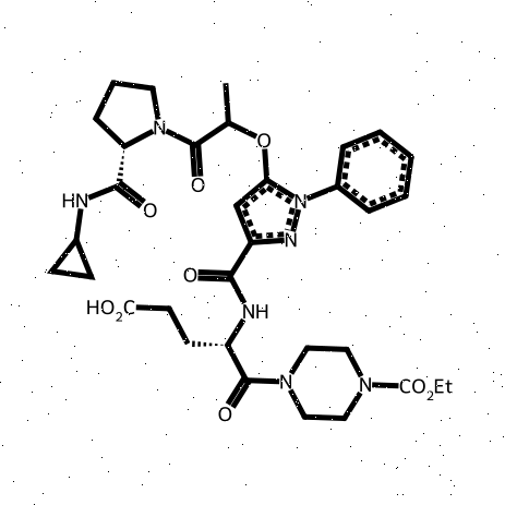 CCOC(=O)N1CCN(C(=O)[C@H](CCC(=O)O)NC(=O)c2cc(OC(C)C(=O)N3CCC[C@H]3C(=O)NC3CC3)n(-c3ccccc3)n2)CC1